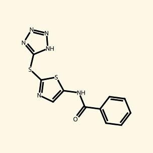 O=C(Nc1cnc(Sc2nnn[nH]2)s1)c1ccccc1